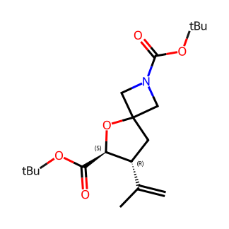 C=C(C)[C@H]1CC2(CN(C(=O)OC(C)(C)C)C2)O[C@@H]1C(=O)OC(C)(C)C